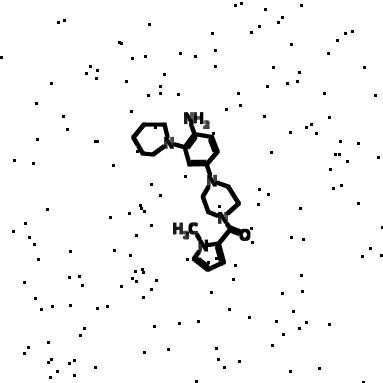 Cn1cccc1C(=O)N1CCN(c2ccc(N)c(N3CCCCC3)c2)CC1